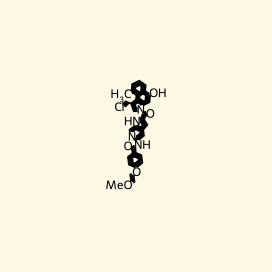 COCCOc1ccc(C(=O)Nc2cc3cc(C(=O)N4C[C@@H](CCl)c5c4cc(O)c4cccc(C)c54)[nH]c3cn2)cc1